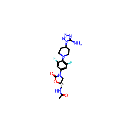 CC(=O)NC[C@H]1CN(c2cc(F)c(N3CCC(n4nnnc4N)CC3)c(F)c2)C(=O)O1